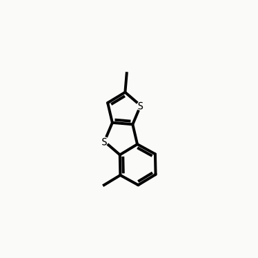 Cc1cc2sc3c(C)cccc3c2s1